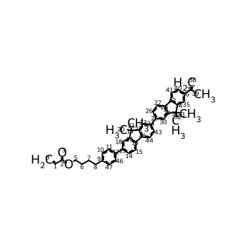 C=CC(=O)OCCCCc1ccc(-c2ccc3c(c2)C(C)(C)c2cc(-c4ccc5c(c4)C(C)(C)c4cc(C(=C)C)ccc4-5)ccc2-3)cc1